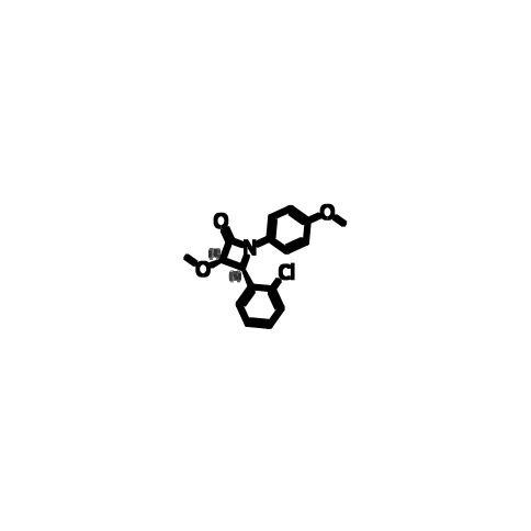 COc1ccc(N2C(=O)[C@H](OC)[C@@H]2c2ccccc2Cl)cc1